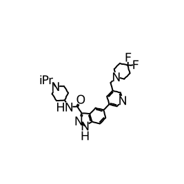 CC(C)N1CCC(NC(=O)c2n[nH]c3ccc(-c4cncc(CN5CCC(F)(F)CC5)c4)cc23)CC1